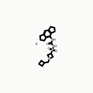 O=C(Nc1c2c(cc3c1CCC3)CCC2)NS(=O)(=O)C1CN(CC2CCC2)C1.[K]